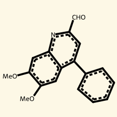 COc1cc2nc(C=O)cc(-c3ccccc3)c2cc1OC